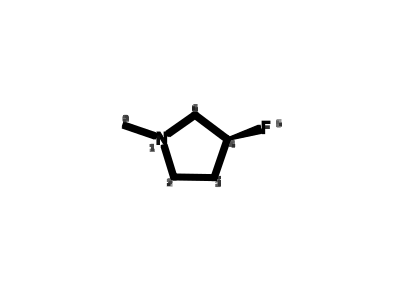 CN1C[CH][C@H](F)C1